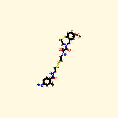 C=Nc1ccc(C(=O)NCCSSCCNC(=O)C(=O)N2CCSc3ccc(OC)cc3C2)c(C)c1